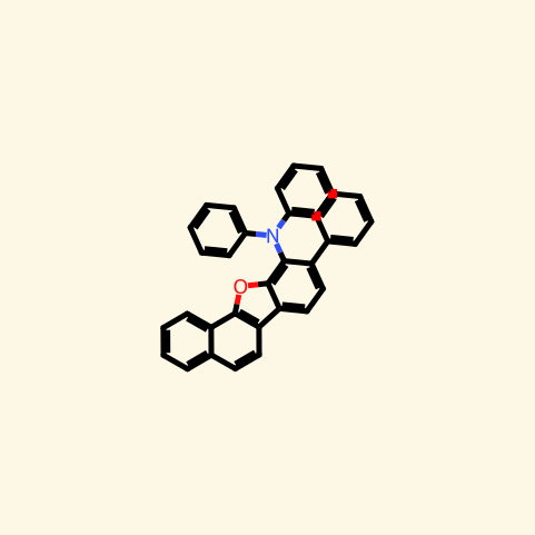 c1ccc(-c2ccc3c(oc4c5ccccc5ccc34)c2N(c2ccccc2)c2ccccc2)cc1